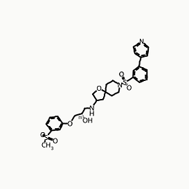 CS(=O)(=O)c1cccc(OC[C@@H](O)CNC2COC3(CCN(S(=O)(=O)c4cccc(-c5ccncc5)c4)CC3)C2)c1